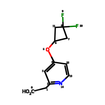 O=C(O)Cc1cc(OC2CC(F)(F)C2)ccn1